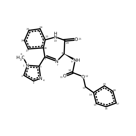 Cn1ccnc1C1=N[C@H](NC(=O)OCc2ccccc2)C(=O)Nc2ccccc21